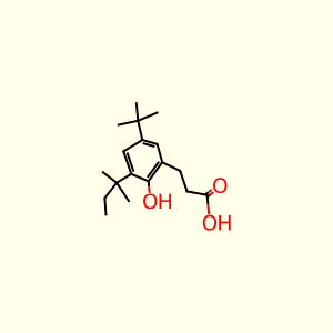 CCC(C)(C)c1cc(C(C)(C)C)cc(CCC(=O)O)c1O